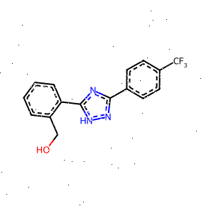 OCc1ccccc1-c1nc(-c2ccc(C(F)(F)F)cc2)n[nH]1